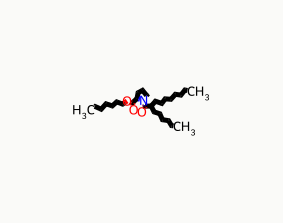 CCCCCCCCC(CCCCCC)C(=O)N1CCCC1C(=O)OCCCCCCC